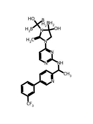 BC(B)(O)N1C(=C)N(c2ccnc(NC(C)c3ccc(-c4cccc(C(F)(F)F)c4)cn3)n2)CC1(B)O